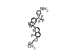 COCCOc1ccc2ccc(-c3nnc4ccc([C@@H](N5CCC(N)C5)C(F)(F)F)cn34)nc2c1F